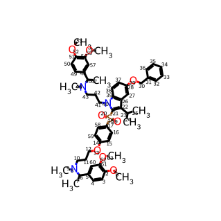 COc1ccc(C(C)N(C)CCCOc2ccc(S(=O)(=O)c3c(C(C)C)c4cc(OCc5ccccc5)ccc4n3CCCN(C)C(C)c3ccc(OC)c(OC)c3)cc2)cc1OC